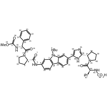 CCCCn1c2cc(NC(=O)[C@@H]3CCCN3C(=O)[C@H](NC(=O)OC)c3ccccc3)ccc2c2ccc(-c3cnc([C@@H]4CCCN4C(=O)[C@@H](NC(=O)O)C(C)C)[nH]3)cc21